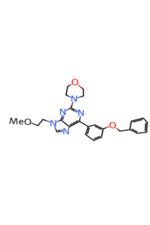 COCCn1cnc2c(-c3cccc(OCc4ccccc4)c3)nc(N3CCOCC3)nc21